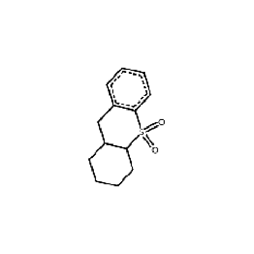 O=S1(=O)c2ccccc2CC2CCCCC21